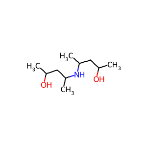 CC(O)CC(C)NC(C)CC(C)O